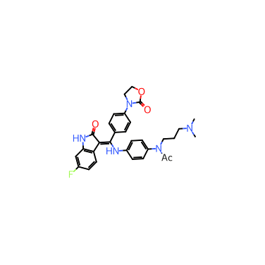 CC(=O)N(CCCN(C)C)c1ccc(NC(=C2C(=O)Nc3cc(F)ccc32)c2ccc(N3CCOC3=O)cc2)cc1